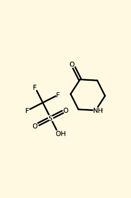 O=C1CCNCC1.O=S(=O)(O)C(F)(F)F